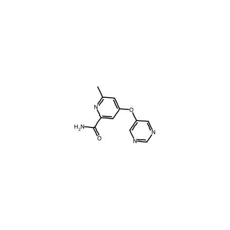 Cc1cc(Oc2cncnc2)cc(C(N)=O)n1